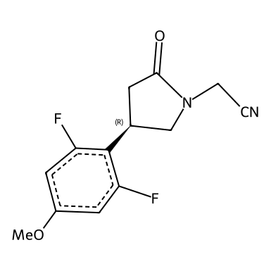 COc1cc(F)c([C@H]2CC(=O)N(CC#N)C2)c(F)c1